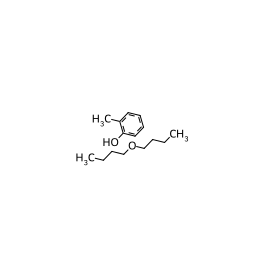 CCCCOCCCC.Cc1ccccc1O